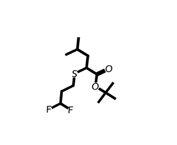 CC(C)CC(SCCC(F)F)C(=O)OC(C)(C)C